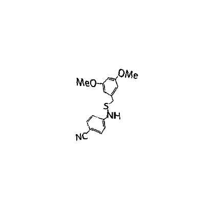 COc1cc(CSNc2ccc(C#N)cc2)cc(OC)c1